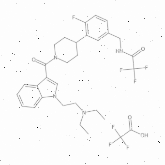 CCN(CC)CCn1cc(C(=O)N2CCC(c3cc(CNC(=O)C(F)(F)F)ccc3F)CC2)c2ccccc21.O=C(O)C(F)(F)F